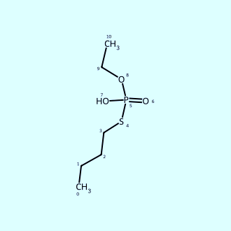 CCCCSP(=O)(O)OCC